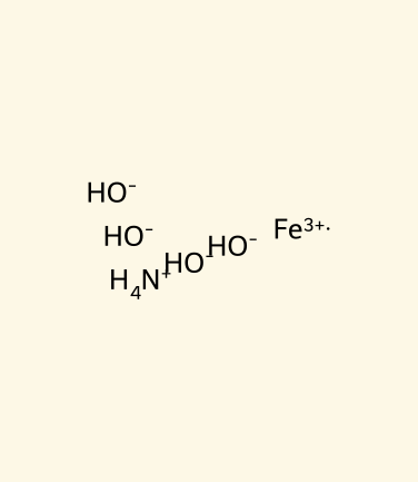 [Fe+3].[NH4+].[OH-].[OH-].[OH-].[OH-]